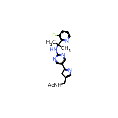 CC(=O)NCC1=CN=C(c2cnc(NC(C)(C)c3ncccc3F)nc2)C1